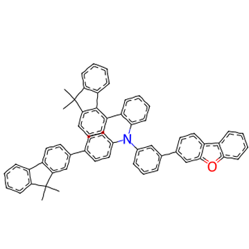 CC1(C)c2ccccc2-c2ccc(-c3ccc(N(c4cccc(-c5ccc6c(c5)oc5ccccc56)c4)c4ccccc4-c4cccc5c4-c4ccccc4C5(C)C)cc3)cc21